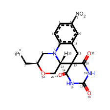 CC(C)C[C@H]1CN2c3ccc([N+](=O)[O-])cc3CC3(C(=O)NC(=O)NC3=O)[C@@H]2CO1